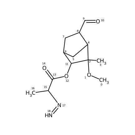 COC1(C)C2CC(CC2C=O)C1OC(=O)C(C)N=N